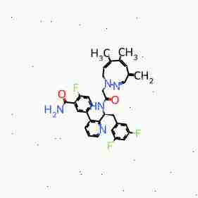 C=C1/C=N\N(CC(=O)N[C@@H](Cc2cc(F)cc(F)c2)c2ncccc2-c2ccc(F)c(C(N)=O)c2)C/C=C(C)\C(C)=C/1